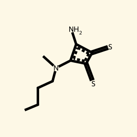 CCCCN(C)c1c(N)c(=S)c1=S